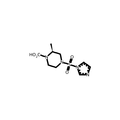 C[C@H]1CN(S(=O)(=O)n2ccnc2)CCN1C(=O)O